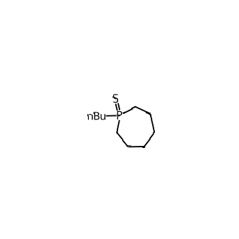 CCCCP1(=S)CCCCCC1